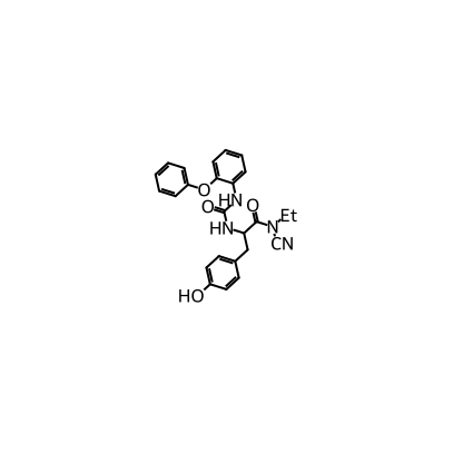 CCN(C#N)C(=O)C(Cc1ccc(O)cc1)NC(=O)Nc1ccccc1Oc1ccccc1